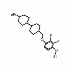 CCCC1CCC(C2CCC(COc3ccc(OCC)c(F)c3F)CC2)CC1